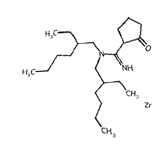 CCCCC(CC)CN(CC(CC)CCCC)C(=N)C1CCCC1=O.[Zr]